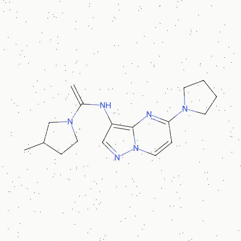 C=C(Nc1cnn2ccc(N3CCCC3)nc12)N1CCC(C)C1